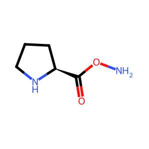 NOC(=O)[C@@H]1CCCN1